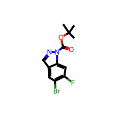 CC(C)(C)OC(=O)n1ncc2cc(Br)c(F)cc21